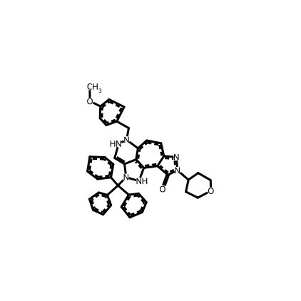 COc1ccc(CN2NC=C3c4c2ccc2nn(C5CCOCC5)c(=O)c-2c4NN3C(c2ccccc2)(c2ccccc2)c2ccccc2)cc1